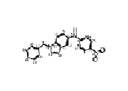 O=[N+]([O-])c1cnc(Nc2ccc3c(ccn3Cc3ccccc3)c2)nc1